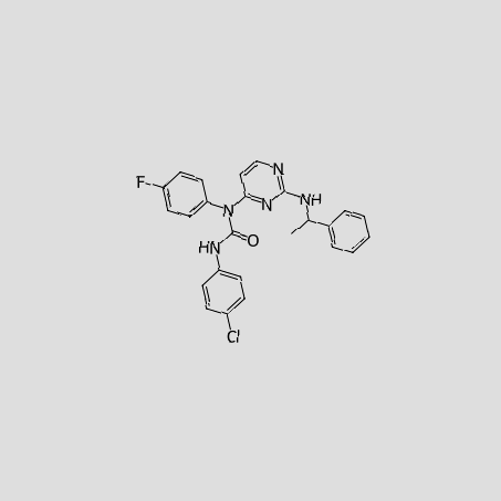 CC(Nc1nccc(N(C(=O)Nc2ccc(Cl)cc2)c2ccc(F)cc2)n1)c1ccccc1